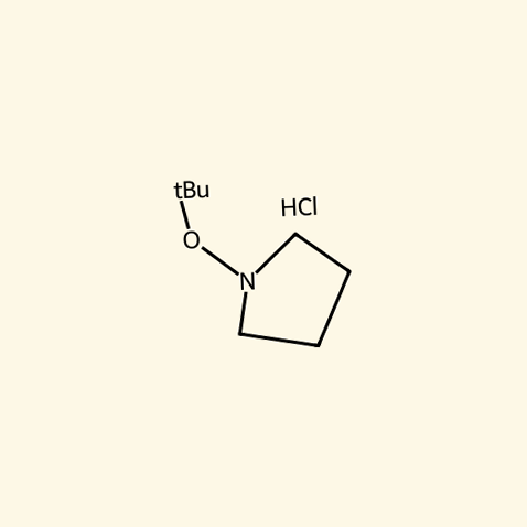 CC(C)(C)ON1CCCC1.Cl